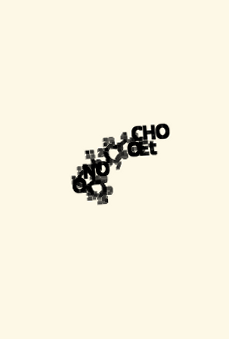 CCOC(C=O)Cc1ccc(OC(C)N2CCOc3ccccc32)cc1